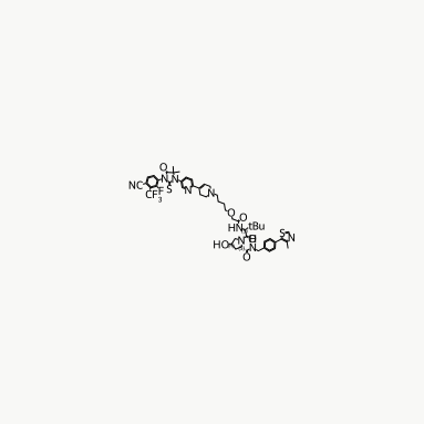 Cc1ncsc1-c1ccc(CNC(=O)[C@@H]2C[C@@H](O)CN2C(=O)[C@@H](NC(=O)COCCCCN2CC=C(c3ccc(N4C(=S)N(c5ccc(C#N)c(C(F)(F)F)c5F)C(=O)C4(C)C)cn3)CC2)C(C)(C)C)cc1